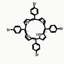 Brc1ccc(/C2=C3\C=CC(N3)/C(c3ccc(Br)cc3)=c3/cc/c([nH]3)=C(\c3ccc(Br)cc3)C3C=C/C(=C(\c4ccc(Br)cc4)c4ccc2[nH]4)N3)cc1